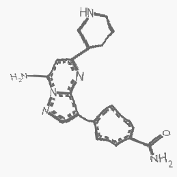 NC(=O)c1ccc(-c2cnn3c(N)cc(C4CCCNC4)nc23)cc1